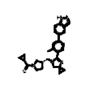 Cc1cc(-c2ccc3[nH]ncc3c2)ccc1C1=NC2(CC2)CN1C[C@@H]1CCN(C(=O)C2CC2)C1